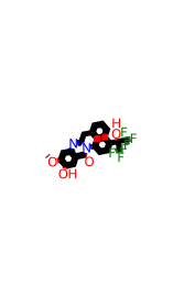 COc1cc2nc(Cc3ccccc3)n(-c3ccc(C(O)(C(F)(F)F)C(F)(F)F)cc3)c(=O)c2cc1O